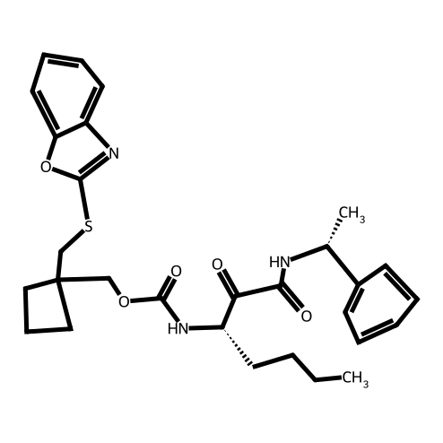 CCCC[C@H](NC(=O)OCC1(CSc2nc3ccccc3o2)CCC1)C(=O)C(=O)N[C@H](C)c1ccccc1